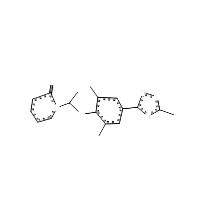 CCC(Oc1c(C)cc(-c2noc(C(F)(F)F)n2)cc1C)n1ccccc1=O